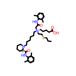 CCCSCC[N+](CCCCCCN1CCCC[C@@H]1C(=O)Nc1c(C)cccc1C)(CCCCC(=O)O)CC(=O)Nc1c(C)cccc1C